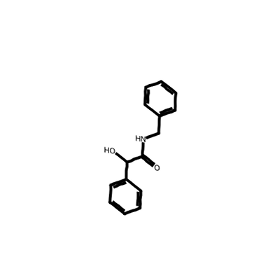 O=C(NCc1ccccc1)C(O)c1ccccc1